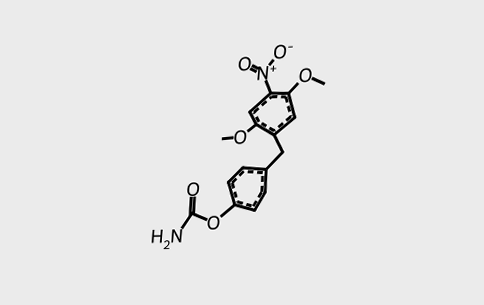 COc1cc([N+](=O)[O-])c(OC)cc1Cc1ccc(OC(N)=O)cc1